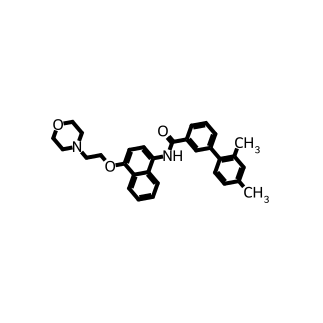 Cc1ccc(-c2cccc(C(=O)Nc3ccc(OCCN4CCOCC4)c4ccccc34)c2)c(C)c1